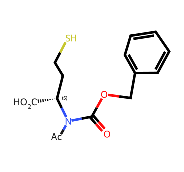 CC(=O)N(C(=O)OCc1ccccc1)[C@@H](CCS)C(=O)O